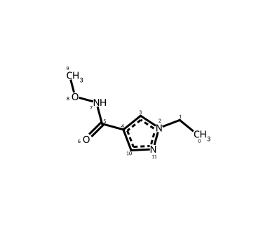 CCn1cc(C(=O)NOC)cn1